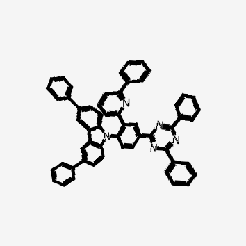 c1ccc(-c2ccc3c(c2)c2cc(-c4ccccc4)ccc2n3-c2ccc(-c3nc(-c4ccccc4)nc(-c4ccccc4)n3)cc2-c2cccc(-c3ccccc3)n2)cc1